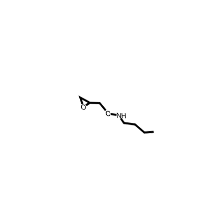 CCCCNOCC1CO1